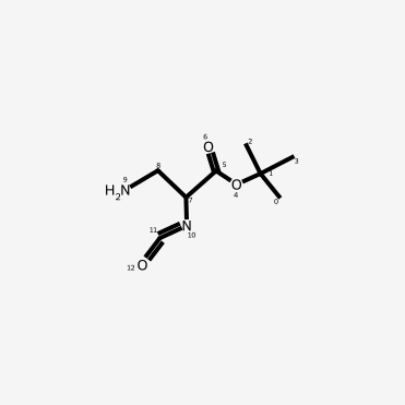 CC(C)(C)OC(=O)C(CN)N=C=O